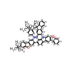 CC(C)(C)c1ccc(N2B3c4cc5c(cc4-n4c6cc7oc8ccccc8c7cc6c6ccc(c3c64)-c3cc4oc6cc(C(C)(C)C)ccc6c4cc32)-c2ccccc2C5(C)C)cc1